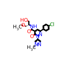 COC[C@H](CO)NC(=O)c1cc(-c2ccc(Cl)cc2)nn(-c2cnn(C)c2)c1=O